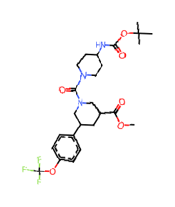 COC(=O)C1CC(c2ccc(OC(F)(F)F)cc2)CN(C(=O)N2CCC(NC(=O)OC(C)(C)C)CC2)C1